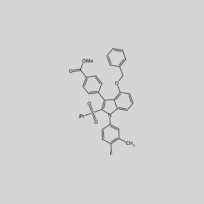 COC(=O)c1ccc(-c2c(S(=O)(=O)C(C)C)n(-c3ccc(F)c(C)c3)c3cccc(OCc4ccccc4)c23)cc1